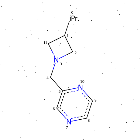 CC(C)C1CN(Cc2cnccn2)C1